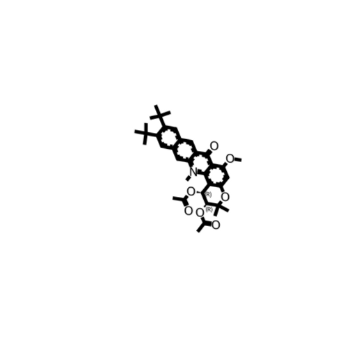 COc1cc2c(c3c1c(=O)c1cc4cc(C(C)(C)C)c(C(C)(C)C)cc4cc1n3C)[C@@H](OC(C)=O)[C@@H](OC(C)=O)C(C)(C)O2